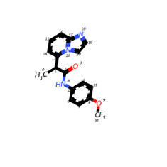 CC(C(=O)Nc1ccc(OC(F)(F)F)cc1)c1cccc2nccn12